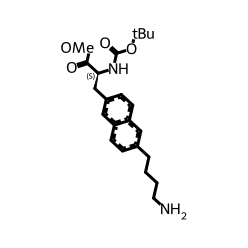 COC(=O)[C@H](Cc1ccc2cc(CCCCN)ccc2c1)NC(=O)OC(C)(C)C